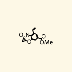 C=Cc1cc(C(=O)OC)cc(OC2CC2)c1[N+](=O)[O-]